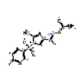 C/C(=N\NC(N)=O)c1cc(C#N)n(S(=O)(=O)c2ccc(C)cc2)c1